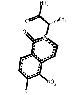 C[C@@H](C(N)=O)n1ccc2c([N+](=O)[O-])c(Cl)ccc2c1=O